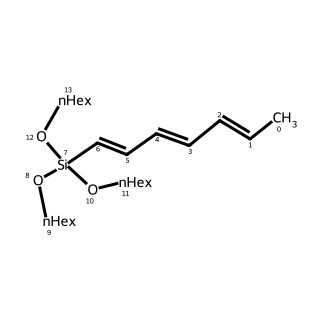 CC=CC=CC=C[Si](OCCCCCC)(OCCCCCC)OCCCCCC